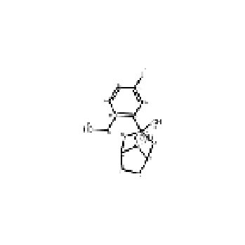 CCOC(=O)N1C2CCC1CC(O)(c1cc(F)ccc1CO)C2